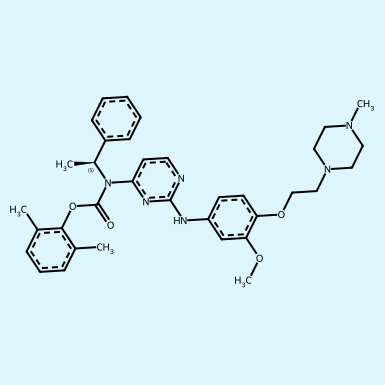 COc1cc(Nc2nccc(N(C(=O)Oc3c(C)cccc3C)[C@@H](C)c3ccccc3)n2)ccc1OCCN1CCN(C)CC1